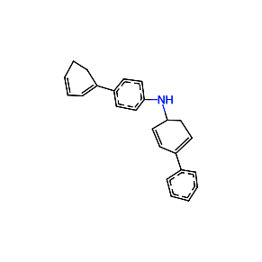 C1=CCCC(c2ccc(NC3C=CC(c4ccccc4)=CC3)cc2)=C1